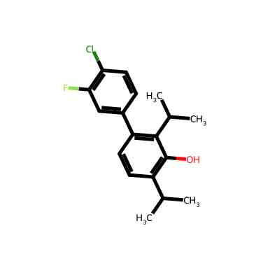 CC(C)c1ccc(-c2ccc(Cl)c(F)c2)c(C(C)C)c1O